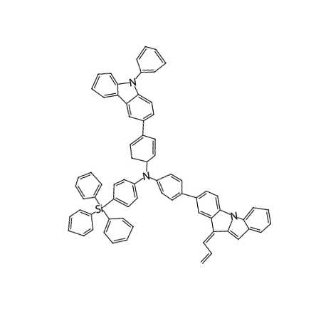 C=C/C=c1/c2cc(-c3ccc(N(c4ccc([Si](c5ccccc5)(c5ccccc5)c5ccccc5)cc4)C4C=CC(c5ccc6c(c5)c5ccccc5n6-c5ccccc5)=CC4)cc3)ccc2n2c1cc1ccccc12